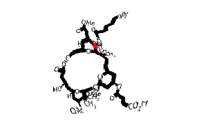 CCC/C=C/C=C/C(=O)O[C@H]1/C(=C/C(=O)OC)C[C@H]2CCOC(=O)C[C@H](O)C[C@@H]3C[C@H](OC(C)=O)C(C)(C)[C@](OC)(C[C@@H]4C[C@H](OC(=O)CCC(=O)O)C[C@H](/C=C/C(C)(C)[C@]1(O)O2)O4)O3